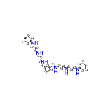 c1cc(CNCCCNCCCNC2CCCCC2)cc(CNCCCNCCCNC2CCCCC2)c1